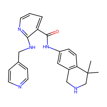 CC1(C)CNCc2cc(NC(=O)c3cccnc3NCc3ccncc3)ccc21